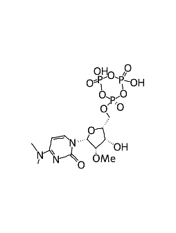 CO[C@H]1[C@@H](O)[C@@H](COP2(=O)OP(=O)(O)OP(=O)(O)O2)O[C@H]1n1ccc(N(C)C)nc1=O